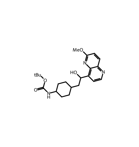 COc1ccc2nccc(C(O)CC3CCC(NC(=O)OC(C)(C)C)CC3)c2n1